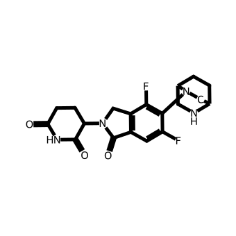 O=C1CCC(N2Cc3c(cc(F)c(N4CC5CCC4CN5)c3F)C2=O)C(=O)N1